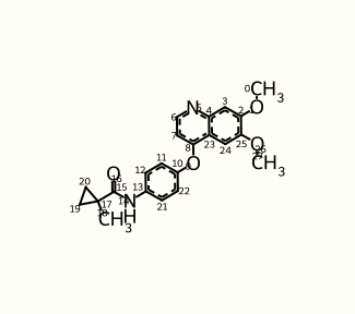 COc1cc2nccc(Oc3ccc(NC(=O)C4(C)CC4)cc3)c2cc1OC